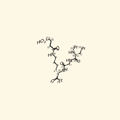 CCC(=O)[C@H](CCCCNC(=O)CCC(=O)O)NC(=O)CNC(=O)[C@H](CC(C)C)NC(C)C